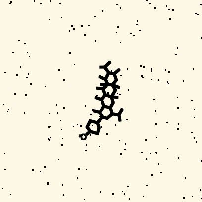 COC1CCC(C2CC(C(C)C)C3CC4(C)CC5(C)CC(C)C(C(C)C)C(C)C5(C)C(C)C4C(C)C3C2C)CC1